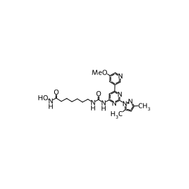 COc1cncc(-c2cc(NC(=O)NCCCCCCC(=O)NO)nc(-n3nc(C)cc3C)n2)c1